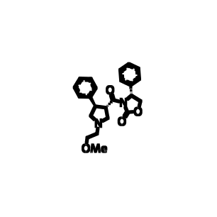 COCCN1C[C@@H](C(=O)N2C(=O)OC[C@H]2c2ccccc2)[C@H](c2ccccc2)C1